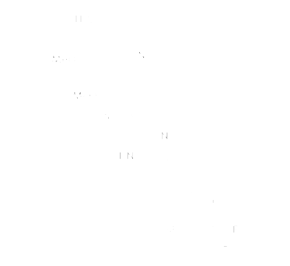 COc1c(C)cnc(C[S+]([O-])c2nc3cc4c(cc3[nH]2)OCC(F)(F)O4)c1OC